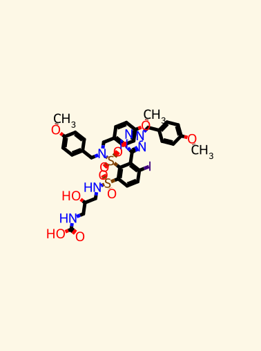 COc1ccc(CN(Cc2ccc(OC)cc2)S(=O)(=O)c2c(S(=O)(=O)NCC(O)CNC(=O)O)ccc(I)c2-c2nnn(Cc3ccc(OC)cc3)n2)cc1